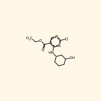 CCOC(=O)c1cnc(Cl)nc1NC1CCCC(O)C1